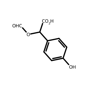 O=COC(C(=O)O)c1ccc(O)cc1